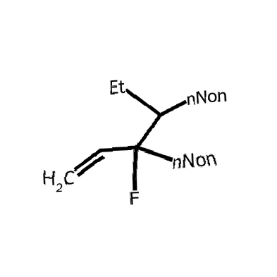 C=CC(F)(CCCCCCCCC)C(CC)CCCCCCCCC